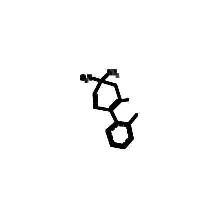 CC1=C(c2ccccc2C)C=CC(N)([N+](=O)[O-])C1